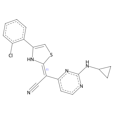 N#C/C(=C1\NC(c2ccccc2Cl)=CS1)c1ccnc(NC2CC2)n1